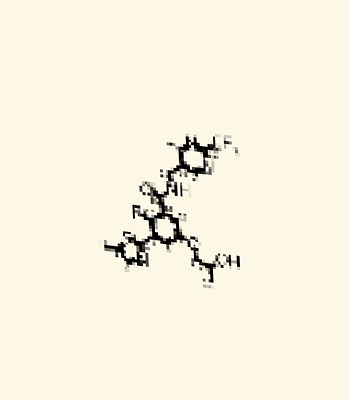 Cc1cnc(-c2cc(OCC(C)O)cc(C(=O)NCc3cnc(C(F)(F)F)nc3)c2F)s1